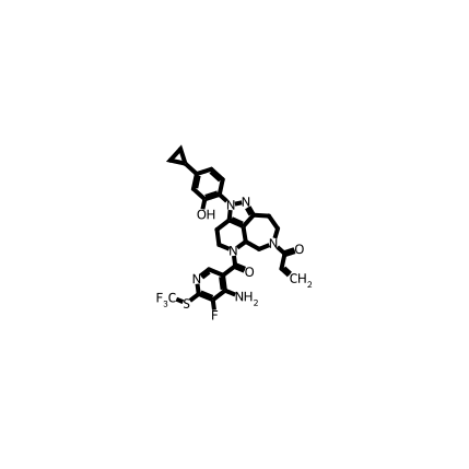 C=CC(=O)N1CCc2nn(-c3ccc(C4CC4)cc3O)c3c2C(C1)N(C(=O)c1cnc(SC(F)(F)F)c(F)c1N)CC3